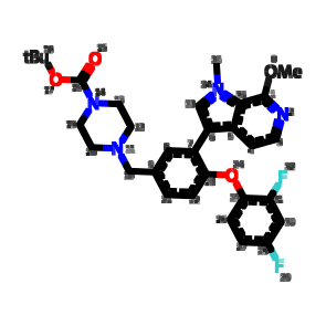 COc1nccc2c(-c3cc(CN4CCN(C(=O)OC(C)(C)C)CC4)ccc3Oc3ccc(F)cc3F)cn(C)c12